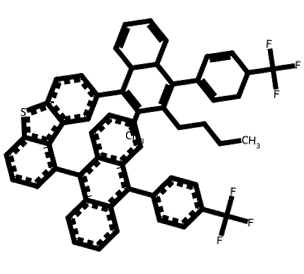 CCCCC1=C(C2=CCC(C(F)(F)F)C=C2)C2C=CC=CC2C(c2ccc3sc4cccc(-c5c6ccccc6c(-c6ccc(C(F)(F)F)cc6)c6ccccc56)c4c3c2)=C1C